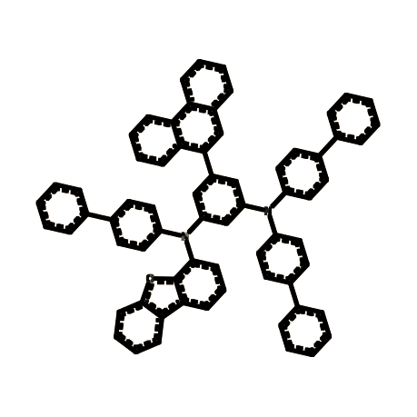 c1ccc(-c2ccc(N(c3ccc(-c4ccccc4)cc3)c3cc(-c4cc5ccccc5c5ccccc45)cc(N(c4ccc(-c5ccccc5)cc4)c4cccc5c4oc4ccccc45)c3)cc2)cc1